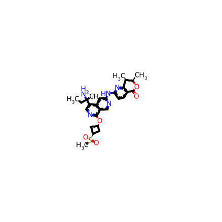 CCC(C)(N)c1cnc(O[C@H]2C[C@@H](S(C)(=O)=O)C2)c2cnc(Nc3ccc4c(n3)[C@@H](C)[C@@H](C)OC4=O)cc12